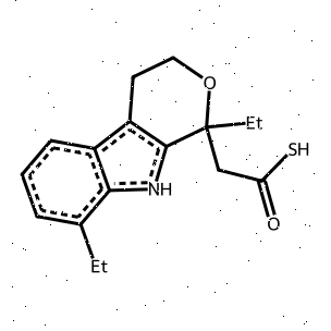 CCc1cccc2c3c([nH]c12)C(CC)(CC(=O)S)OCC3